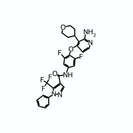 Nc1nccc(Oc2c(F)cc(NC(=O)c3cnn(-c4ccccc4)c3C(F)(F)F)cc2F)c1C1CCOCC1